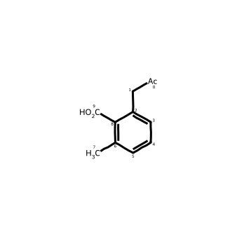 CC(=O)Cc1cccc(C)c1C(=O)O